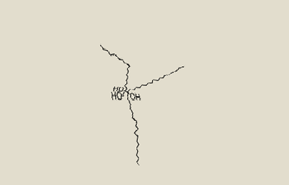 CCCCCCCC/C=C\CCCCCCCCC(O)(CO)C(O)(CCCCCCCCCCCCCCCCCC)CCCCCCCCCCCCCCCCCC